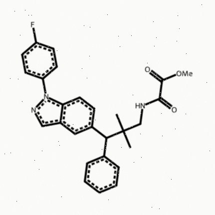 COC(=O)C(=O)NCC(C)(C)C(c1ccccc1)c1ccc2c(cnn2-c2ccc(F)cc2)c1